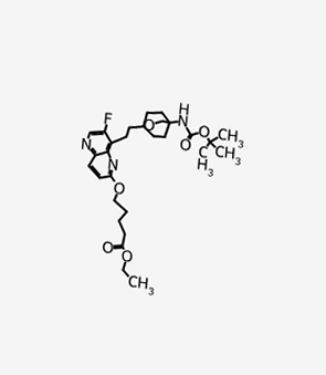 CCOC(=O)CCCCOc1ccc2ncc(F)c(CCC34CCC(NC(=O)OC(C)(C)C)(CC3)CO4)c2n1